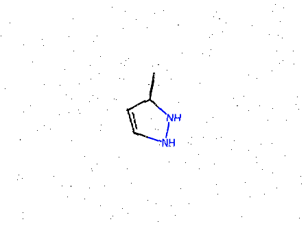 CC1C=CNN1